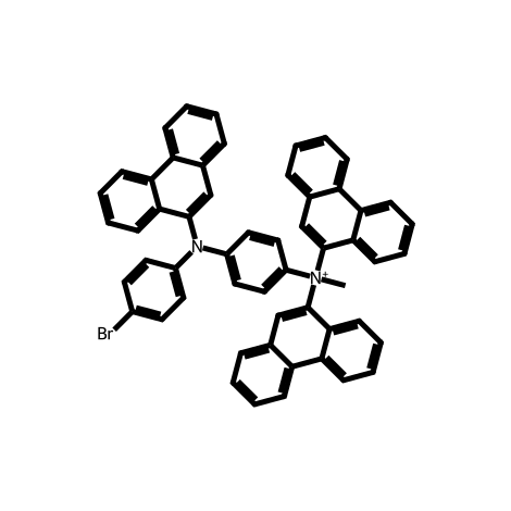 C[N+](c1ccc(N(c2ccc(Br)cc2)c2cc3ccccc3c3ccccc23)cc1)(c1cc2ccccc2c2ccccc12)c1cc2ccccc2c2ccccc12